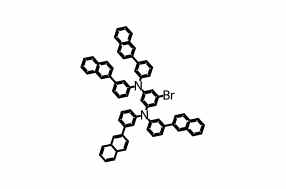 Brc1cc(N(c2cccc(C3=CC4C=CC=CC4C=C3)c2)c2cccc(-c3ccc4ccccc4c3)c2)cc(N(c2cccc(-c3ccc4ccccc4c3)c2)c2cccc(-c3ccc4ccccc4c3)c2)c1